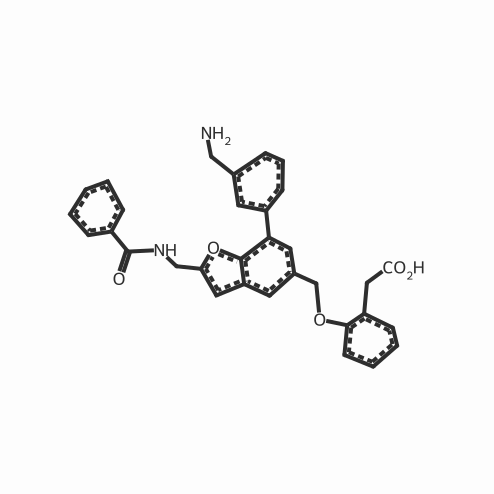 NCc1cccc(-c2cc(COc3ccccc3CC(=O)O)cc3cc(CNC(=O)c4ccccc4)oc23)c1